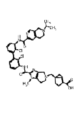 CC(C)N1CCc2cc(C(=O)Nc3cccc(-c4cccc(NC(=O)c5nc6c(n5C)CCN(CC57CCC(C(=O)O)(CC5)C7)C6)c4Cl)c3Cl)ncc2C1